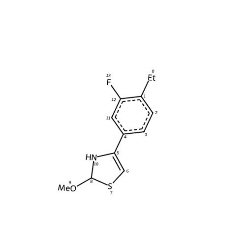 CCc1ccc(C2=CSC(OC)N2)cc1F